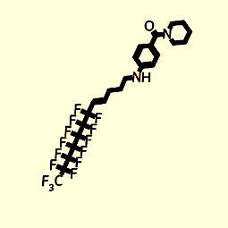 O=C(c1ccc(NCCC/C=C/C(F)(F)C(F)(F)C(F)(F)C(F)(F)C(F)(F)C(F)(F)C(F)(F)F)cc1)N1CCCCC1